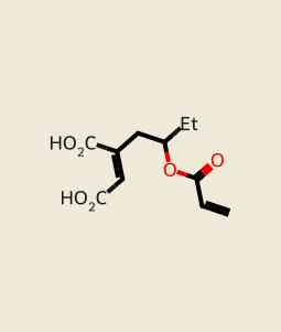 C=CC(=O)OC(CC)C/C(=C/C(=O)O)C(=O)O